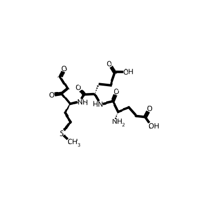 CSCC[C@H](NC(=O)[C@H](CCC(=O)O)NC(=O)[C@@H](N)CCC(=O)O)C(=O)C[C]=O